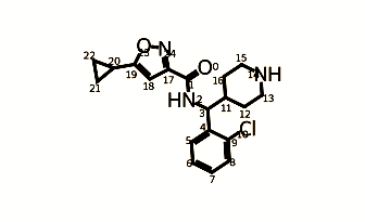 O=C(NC(c1ccccc1Cl)C1CCNCC1)c1cc(C2CC2)on1